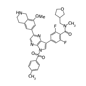 COc1cc(-c2cnc3c(n2)c(-c2cc(F)c(C(=O)N(C)CC4CCOC4)c(F)c2)cn3S(=O)(=O)c2ccc(C)cc2)cc2c1CNCC2